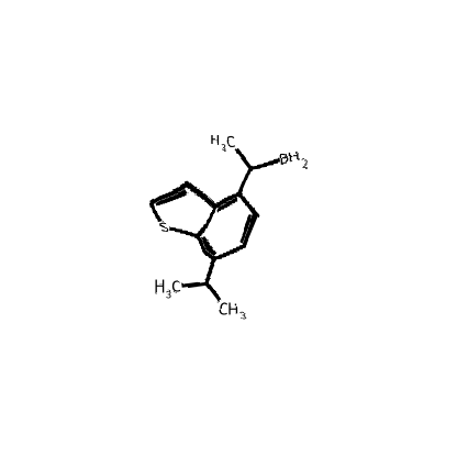 BC(C)c1ccc(C(C)C)c2sccc12